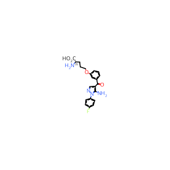 Nc1c(C(=O)c2cccc(OCCC[C@H](N)C(=O)O)c2)cnn1-c1ccc(F)cc1